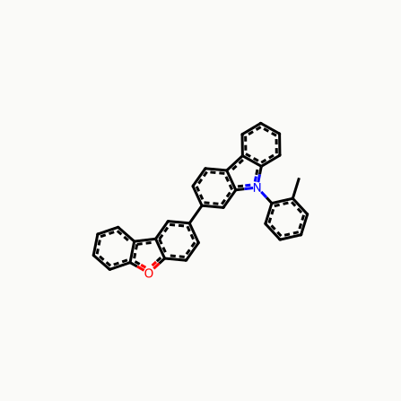 Cc1ccccc1-n1c2ccccc2c2ccc(-c3ccc4oc5ccccc5c4c3)cc21